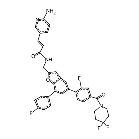 Nc1ccc(C=CC(=O)NCc2cc3cc(-c4ccc(C(=O)N5CCC(F)(F)CC5)cc4F)cc(-c4ccc(F)cc4)c3o2)cn1